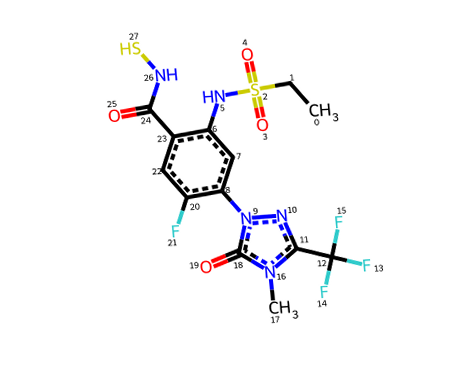 CCS(=O)(=O)Nc1cc(-n2nc(C(F)(F)F)n(C)c2=O)c(F)cc1C(=O)NS